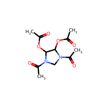 CC(=O)OC1C(OC(C)=O)N(C(C)=O)CN1C(C)=O